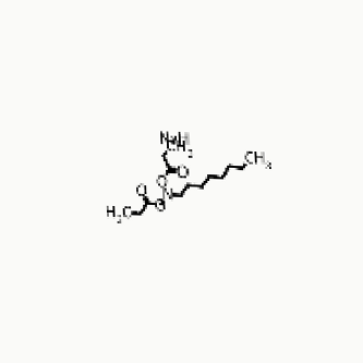 CCCCCCCCN(OC(=O)CC)OC(=O)CC.[NaH]